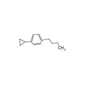 CCCCc1[c]cc(C2CC2)cc1